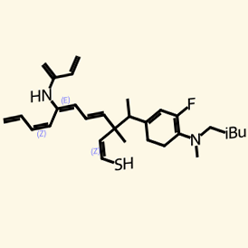 C=C/C=C\C(=C/C=CC(C)(/C=C\S)C(C)C1=CC(F)=C(N(C)CC(C)CC)CC1)NC(=C)C=C